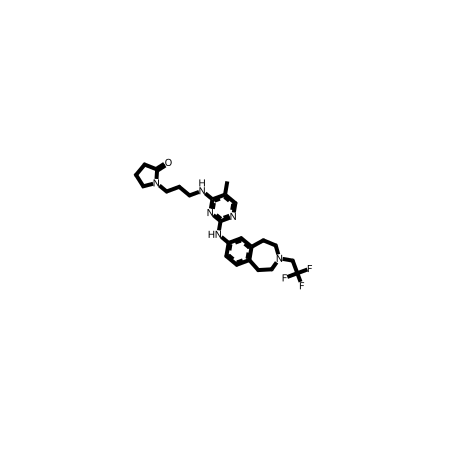 Cc1cnc(Nc2ccc3c(c2)CCN(CC(F)(F)F)CC3)nc1NCCCN1CCCC1=O